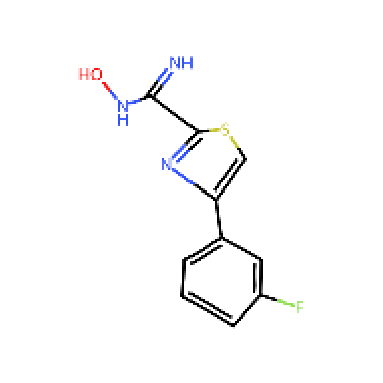 N=C(NO)c1nc(-c2cccc(F)c2)cs1